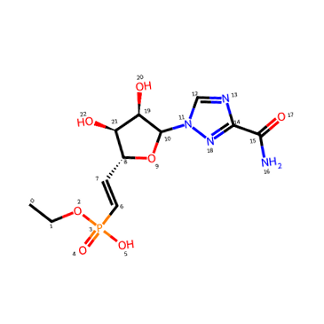 CCOP(=O)(O)/C=C/[C@H]1OC(n2cnc(C(N)=O)n2)[C@H](O)[C@@H]1O